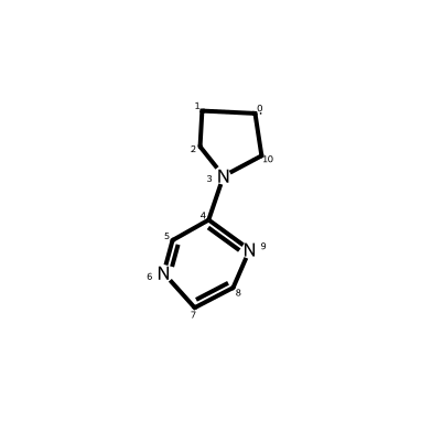 [CH]1CCN(c2cnccn2)C1